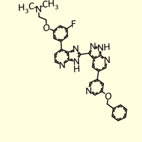 CN(C)CCOc1cc(F)cc(-c2ccnc3[nH]c(-c4n[nH]c5ncc(-c6cncc(OCc7ccccc7)c6)cc45)nc23)c1